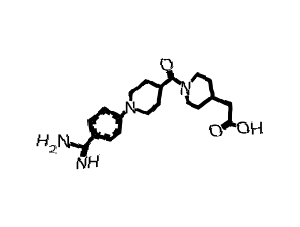 N=C(N)c1ccc(N2CCC(C(=O)N3CCC(CC(=O)O)CC3)CC2)cc1